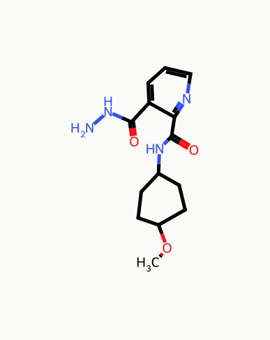 COC1CCC(NC(=O)c2ncccc2C(=O)NN)CC1